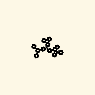 c1ccc(-c2cc(-c3ccccc3)cc(-c3ccc(N(c4ccc(-c5ccccc5-c5ccccc5)cc4)c4cccc(-c5cc6ccccc6c6c5c5ccccc5n6-c5ccccc5)c4)cc3)c2)cc1